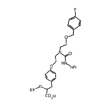 CCCNC(=O)N(CCOCc1ccc(F)cc1)CCOc1ccc(CC(OCC)C(=O)O)cc1